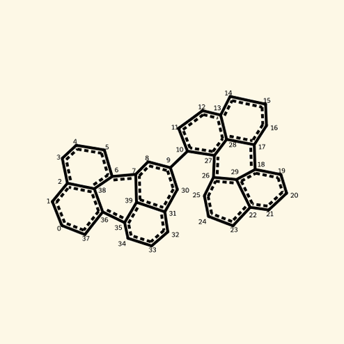 c1cc2cccc3c4cc(-c5ccc6cccc7c8cccc9cccc(c5c67)c98)cc5cccc(c(c1)c23)c54